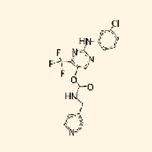 O=C(NCc1ccncc1)Oc1cnc(Nc2cccc(Cl)c2)nc1C(F)(F)F